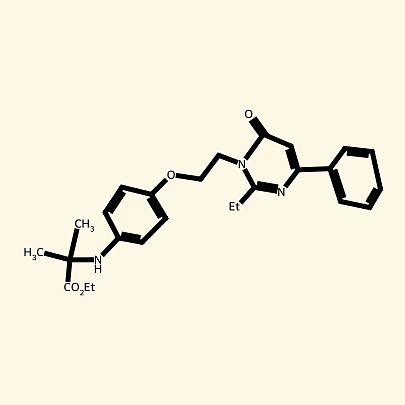 CCOC(=O)C(C)(C)Nc1ccc(OCCn2c(CC)nc(-c3ccccc3)cc2=O)cc1